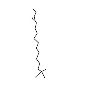 CCOCCCCCCCCCCC(C)(C)C